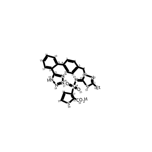 CCc1nn(Cc2ccc(-c3ccccc3-c3nnn[nH]3)cc2)c(=NS(=O)(=O)c2ccsc2C(=O)O)s1